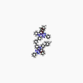 Cc1ccc(-c2ccc3c(c2)c2ccccc2n3-c2cc(-c3cccc(-c4ccc(-c5nc(-c6ccccc6)nc(-c6ccccc6)n5)c(-n5c6ccccc6c6cc(-c7ccc(C)cc7C)ccc65)c4)c3)ccc2-c2nc(-c3ccccc3)nc(-c3ccccc3)n2)c(C)c1